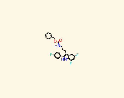 O=C(NCCCc1c(-c2ccc(F)cc2)[nH]c2c(F)cc(F)cc12)OCc1ccccc1